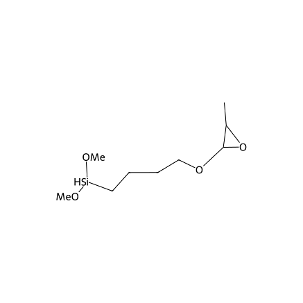 CO[SiH](CCCCOC1OC1C)OC